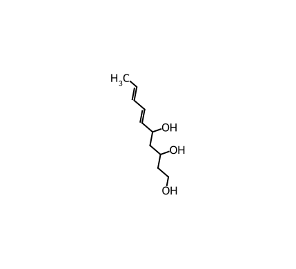 CC=CC=CC(O)CC(O)CCO